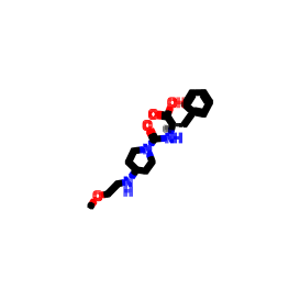 COCCNC1CCN(C(=O)N[C@@H](Cc2ccccc2)C(=O)O)CC1